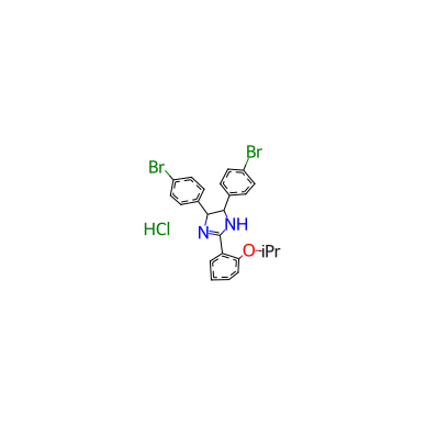 CC(C)Oc1ccccc1C1=NC(c2ccc(Br)cc2)C(c2ccc(Br)cc2)N1.Cl